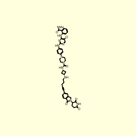 CNC(=O)c1ccccc1Nc1nc(Nc2ccc(N3CCN(C(=O)N[C@H]4C[C@@H](NCCCC#Cc5ccc6c(c5)CN(C5CCC(=O)NC5=O)C6=O)C4)CC3)cc2)ncc1Cl